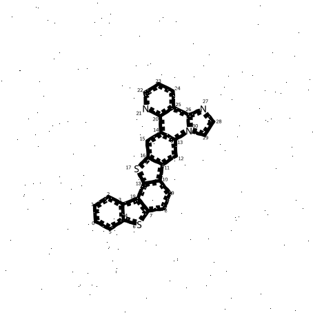 c1ccc2c(c1)sc1ccc3c4cc5c(cc4sc3c12)c1ncccc1c1nccn51